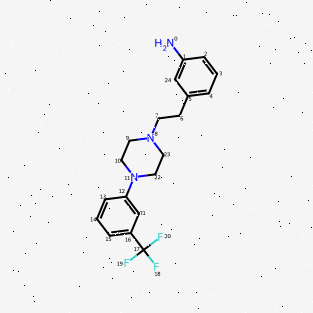 Nc1cccc(CCN2CCN(c3cccc(C(F)(F)F)c3)CC2)c1